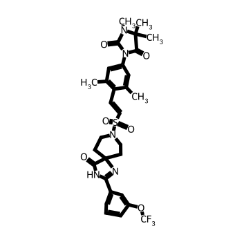 Cc1cc(N2C(=O)N(C)C(C)(C)C2=O)cc(C)c1C=CS(=O)(=O)N1CCC2(CC1)N=C(c1cccc(OC(F)(F)F)c1)NC2=O